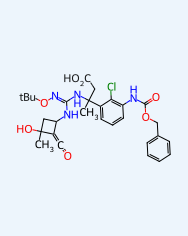 CC(C)(C)ON=C(NC1CC(C)(O)C1=C=O)NC(C)(CC(=O)O)c1cccc(NC(=O)OCc2ccccc2)c1Cl